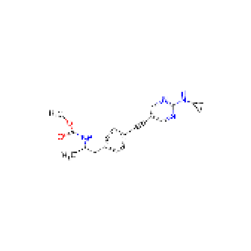 COC(=O)NC(C)Cc1ccc(C#Cc2cnc(NC3CC3)nc2)cc1